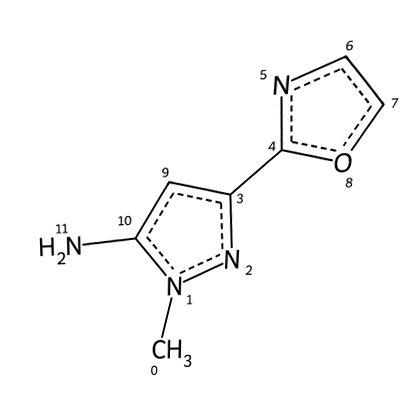 Cn1nc(-c2ncco2)cc1N